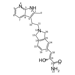 Cc1[nH]c2ncccc2c1CCN1Cc2ccc(C=C(O)C(N)=O)cc2C1